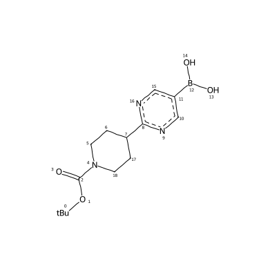 CC(C)(C)OC(=O)N1CCC(c2ncc(B(O)O)cn2)CC1